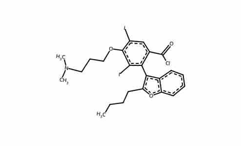 CCCCc1oc2ccccc2c1-c1c(C(=O)Cl)cc(I)c(OCCCN(C)C)c1I